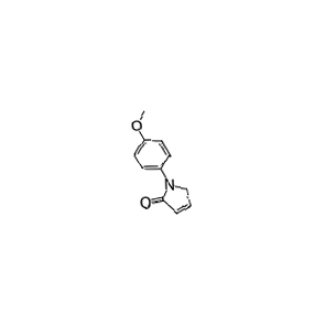 COc1ccc(N2CC=CC2=O)cc1